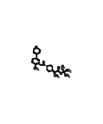 Cc1ccc(-c2ccncc2)cc1CN[C@H]1CC[C@H](N(C)C(=O)OC(C)(C)C)CC1